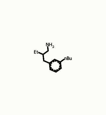 CCCCc1cccc(CC(CC)CN)c1